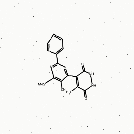 CSc1nc(-c2ccccc2)nc(-c2c(C)c(=O)[nH][nH]c2=O)c1C#N